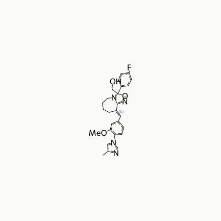 COc1cc(/C=C2\CCCCN3C2=NOC3(CO)c2ccc(F)cc2)ccc1-n1cnc(C)c1